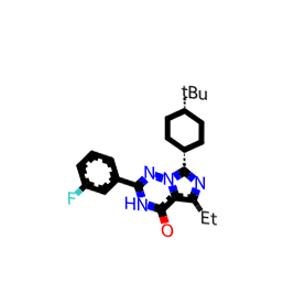 CCc1nc([C@H]2CC[C@@H](C(C)(C)C)CC2)n2nc(-c3cccc(F)c3)[nH]c(=O)c12